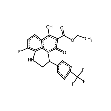 CCOC(=O)c1c(O)c2ccc(F)c3c2n(c1=O)C(c1ccc(C(F)(F)F)cc1)CN3